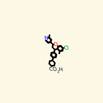 Cc1cc(C(=O)CC(c2ccc(C3CCC(C(=O)O)CC3)cc2)c2ccc(Cl)cc2C)ccn1